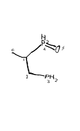 CC(CP)[PH2]=O